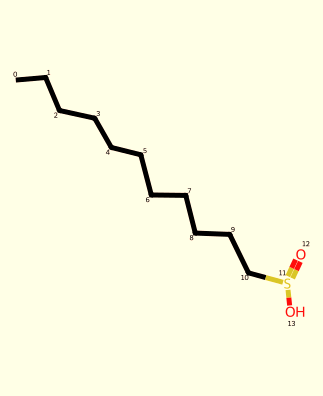 CCCCCCCCCCCS(=O)O